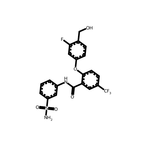 NS(=O)(=O)c1cccc(NC(=O)c2cc(C(F)(F)F)ccc2Oc2ccc(CO)c(F)c2)c1